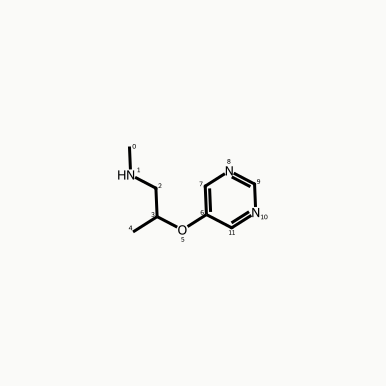 CNCC(C)Oc1cncnc1